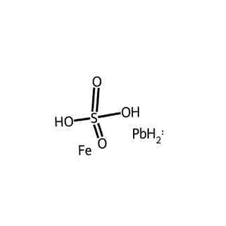 O=S(=O)(O)O.[Fe].[PbH2]